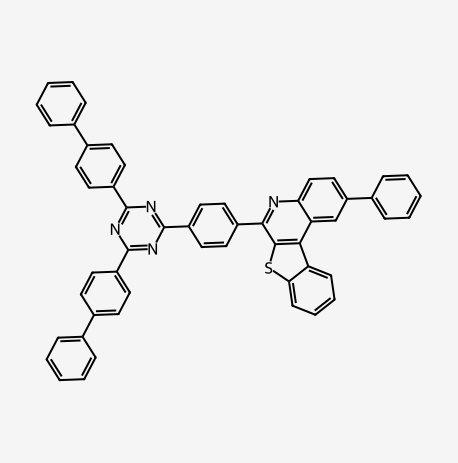 c1ccc(-c2ccc(-c3nc(-c4ccc(-c5ccccc5)cc4)nc(-c4ccc(-c5nc6ccc(-c7ccccc7)cc6c6c5sc5ccccc56)cc4)n3)cc2)cc1